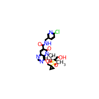 Cn1c(=O)c(C(=O)NCc2ccc(Cl)nc2)cc2ncnc(OCC3(S(=O)(=O)C(C)(C)CO)CC3)c21